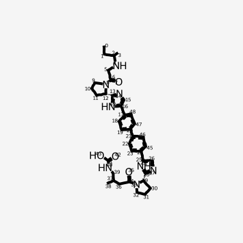 CCC(C)NCC(=O)N1CCC[C@H]1c1ncc(-c2ccc(-c3ccc(-c4cnc([C@@H]5CCCN5C(=O)CC(C)CNC(=O)O)[nH]4)cc3)cc2)[nH]1